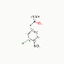 CNC(=O)Cc1ccc([N+](=O)[O-])c(F)c1